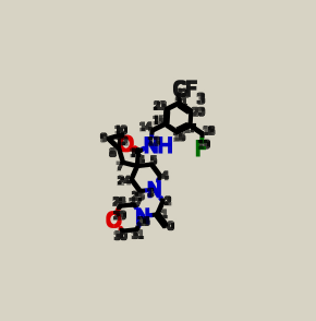 C=C(CN1CCC(CC2CC2)(C(=O)NCc2cc(CF)cc(C(F)(F)F)c2)CC1)N1CCOCC1